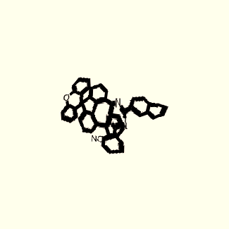 N#Cc1ccccc1-c1cccc2c1-c1c(-c3nc(-c4ccccc4)nc(-c4ccc5ccccc5c4)n3)cccc1C21c2ccccc2Oc2ccccc21